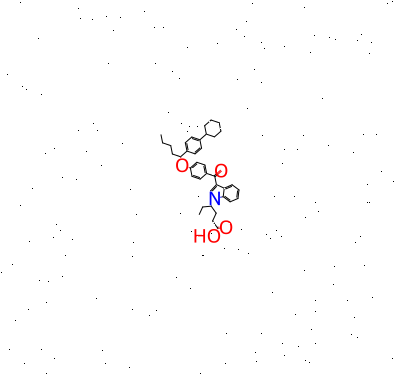 CCCCC(Oc1ccc(C(=O)c2cn(C(CC)CCC(=O)O)c3ccccc23)cc1)c1ccc(C2CCCCC2)cc1